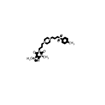 Cc1ccc(S(=O)(=O)CCCN2CCN(CCCn3c(=O)c4c(ncn4C)n(C)c3=O)CC2)cc1